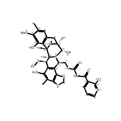 CCS[C@@H]1c2c(OC(C)=O)c(C)c3c(c2[C@H](COC(=O)NC(=O)c2cccnc2Cl)N2[C@@H]1[C@@H]1c4c(cc(C)c(OC)c4O)C[C@@H]([C@@H]2C#N)N1C)OCO3